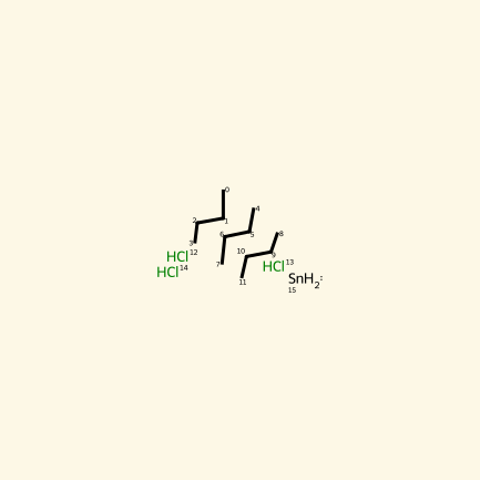 CCCC.CCCC.CCCC.Cl.Cl.Cl.[SnH2]